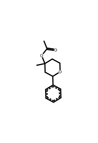 CC(=O)OC1(C)CCOC(c2ccccc2)C1